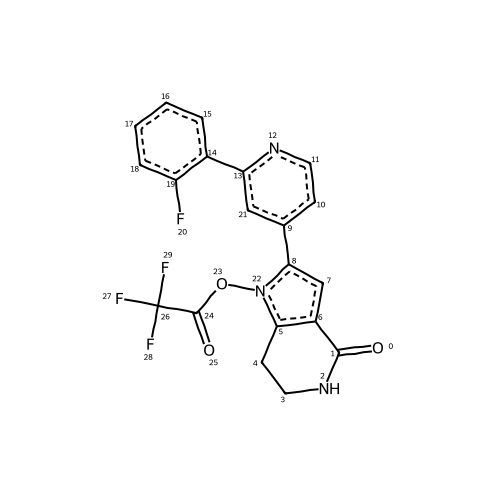 O=C1NCCc2c1cc(-c1ccnc(-c3ccccc3F)c1)n2OC(=O)C(F)(F)F